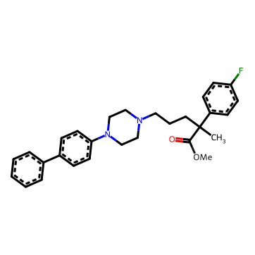 COC(=O)C(C)(CCCN1CCN(c2ccc(-c3ccccc3)cc2)CC1)c1ccc(F)cc1